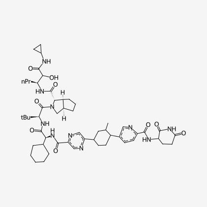 CCC[C@H](NC(=O)[C@@H]1[C@H]2CCC[C@H]2CN1C(=O)[C@@H](NC(=O)[C@@H](NC(=O)c1cnc(C2CCC(c3ccc(C(=O)NC4CCC(=O)NC4=O)nc3)C(C)C2)cn1)C1CCCCC1)C(C)(C)C)C(O)C(=O)NC1CC1